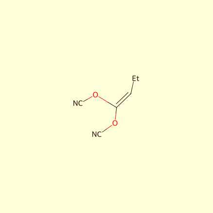 CCC=C(OC#N)OC#N